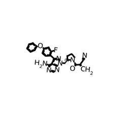 C=C(C#N)C(=O)N1CCC[C@@H]1Cn1nc(-c2ccc(Oc3ccccc3)cc2F)c2c(N)ncnc21